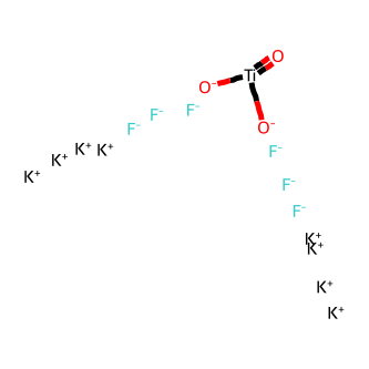 [F-].[F-].[F-].[F-].[F-].[F-].[K+].[K+].[K+].[K+].[K+].[K+].[K+].[K+].[O]=[Ti]([O-])[O-]